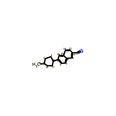 CC1CCC(c2ccc3cc(C#N)ccc3c2)CC1